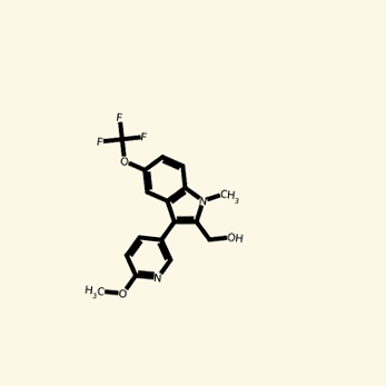 COc1ccc(-c2c(CO)n(C)c3ccc(OC(F)(F)F)cc23)cn1